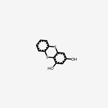 Oc1cc(O)c2c(c1)Sc1ccccc1S2